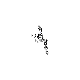 Cc1csc2c(-n3nc(Nc4ccc(N5CCN([C@H]6CC7CCC6C7)CC5)cc4)nc3N)nc(/C=C/CN3CCOCC3)nc12